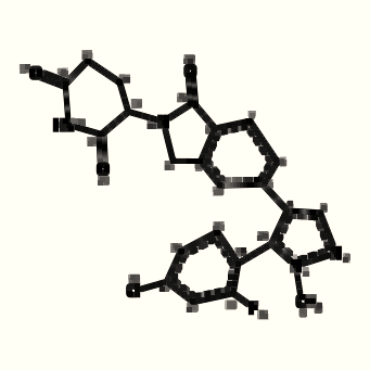 Cn1ncc(-c2ccc3c(c2)CN(C2CCC(=O)NC2=O)C3=O)c1-c1ccc(Cl)cc1F